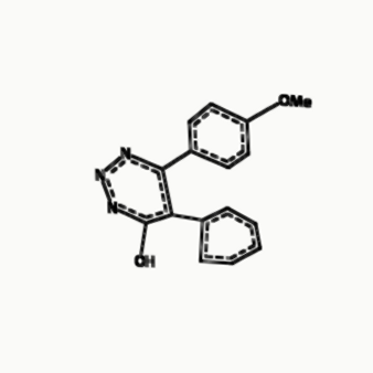 COc1ccc(-c2nnnc(O)c2-c2ccccc2)cc1